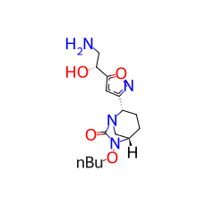 CCCCON1C(=O)N2C[C@@H]1CC[C@H]2c1cc([C@H](O)CN)on1